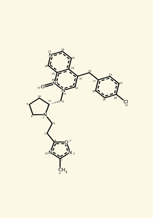 Cc1noc(CCN2CCC[C@@H]2Cn2cc(Cc3ccc(Cl)cc3)c3ccncc3[n+]2=O)n1